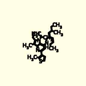 CC/C=C\C(=C/C(C)CC)CNc1cc(-c2ccsc2C)nc2c(C)c(CC)n(C(C)C)c12